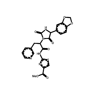 COC(=O)c1csc(NC(=O)C(Cc2cccnc2)N2C(=O)NC(c3ccc4c(c3)OCO4)C2=O)n1